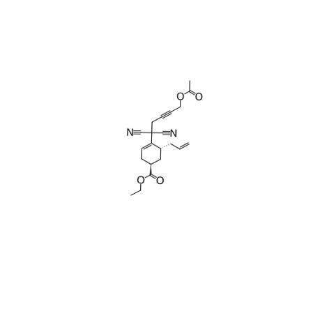 C=CC[C@@H]1C[C@@H](C(=O)OCC)CC=C1C(C#N)(C#N)CC#CCOC(C)=O